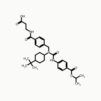 CC(C)OC(=O)c1ccc(NC(=O)N(Cc2ccc(C(=O)NCCC(=O)O)cc2)C2CCC(C(C)(C)C)CC2)cc1